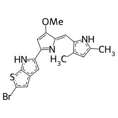 COC1=CC(c2cc3cc(Br)sc3[nH]2)=NC1=Cc1[nH]c(C)cc1C